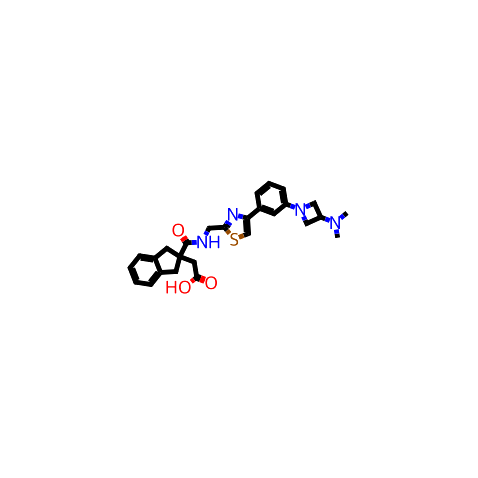 CN(C)C1CN(c2cccc(-c3csc(CNC(=O)C4(CC(=O)O)Cc5ccccc5C4)n3)c2)C1